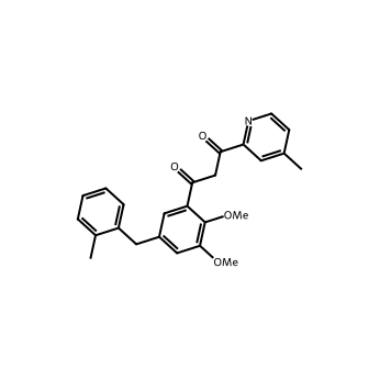 COc1cc(Cc2ccccc2C)cc(C(=O)CC(=O)c2cc(C)ccn2)c1OC